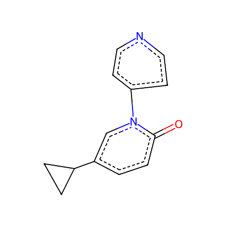 O=c1ccc(C2CC2)cn1-c1ccncc1